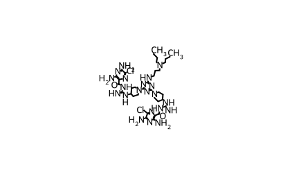 CCCCN(CCCC)CCCNc1nc(N2CCC(NC(=N)NC(=O)c3nc(Cl)c(N)nc3N)CC2)nc(N2CCC(NC(=N)NC(=O)c3nc(Cl)c(N)nc3N)CC2)n1